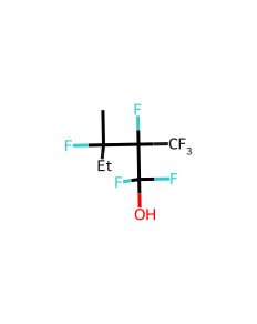 CCC(C)(F)C(F)(C(O)(F)F)C(F)(F)F